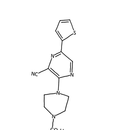 N#Cc1nc(-c2cccs2)cnc1N1CCN(C(=O)O)CC1